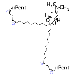 CCCCC/C=C\C/C=C\CCCCCCCCCC1(CCCCCCCC/C=C\C/C=C\CCCCC)O[C@H]2C[C@H](N(C)C)C[C@H]2O1